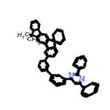 CC1(C)c2ccccc2-c2cc3c(cc21)-c1cc(-c2cccc(-c4cccc(-c5cc(C6C=CC=CC6)nc(-c6ccccc6)n5)c4)c2)ccc1C31CCCCC1